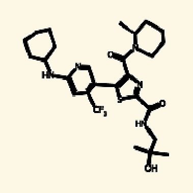 C[C@H]1CCCCN1C(=O)c1nc(C(=O)NCC(C)(C)O)sc1-c1cnc(NC2CCCCC2)cc1C(F)(F)F